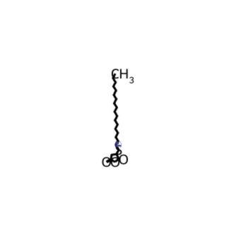 CCCCCCCCCCCCCCCC/C=C/SC1CC(=O)OC1=O